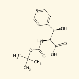 CC(C)(C)OC(=O)N[C@H](C(=O)O)[C@H](O)c1ccncc1